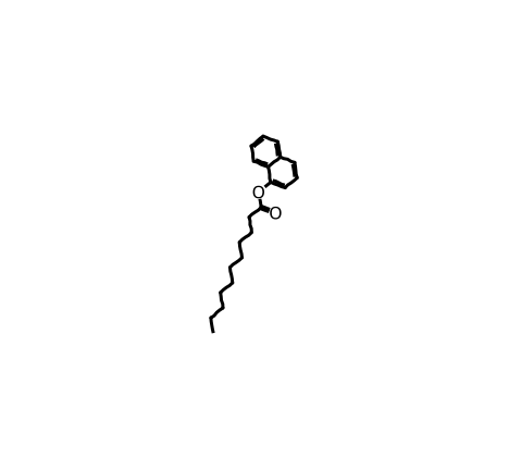 CCCCCCCCCCC(=O)Oc1cccc2ccccc12